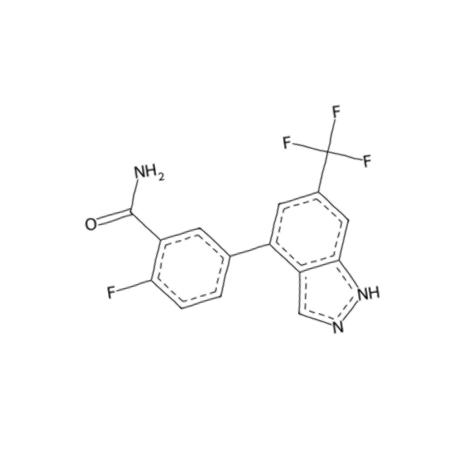 NC(=O)c1cc(-c2cc(C(F)(F)F)cc3[nH]ncc23)ccc1F